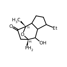 CCC1CCC2C1C(O)[C@]1(P)CC(=O)[C@@]2(C)O1